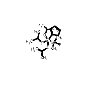 CC(C)[O][Zr]([O]C(C)C)([O]C(C)C)([C]1=CC=CC1)[Ge]([CH3])([CH3])[F]